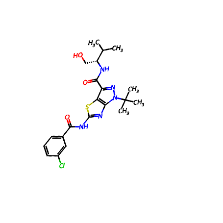 CC(C)[C@@H](CO)NC(=O)c1nn(C(C)(C)C)c2nc(NC(=O)c3cccc(Cl)c3)sc12